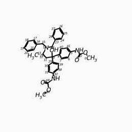 COC(=O)Nc1ccc(C(O)(C[C@H](C)N(Cc2ccccc2)Cc2ccccc2)c2ccc(NC(=O)OC)cc2)cc1